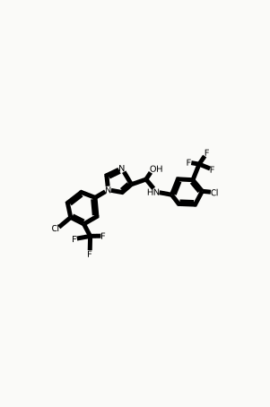 OC(Nc1ccc(Cl)c(C(F)(F)F)c1)c1cn(-c2ccc(Cl)c(C(F)(F)F)c2)cn1